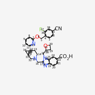 N#Cc1ccc(COc2cccc([C@]34CCN(Cc5nc6ccc(C(=O)O)cc6n5C[C@@H]5CCO5)C[C@H]3C4)n2)c(F)c1